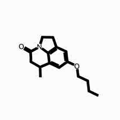 CCCCOc1cc2c3c(c1)C(C)CC(=O)N3CC2